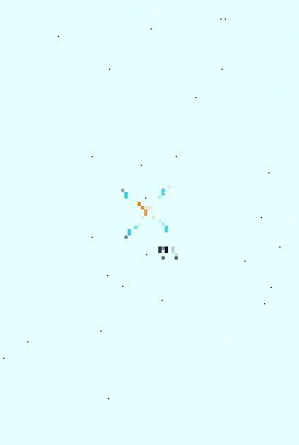 B.F[P](F)(F)F